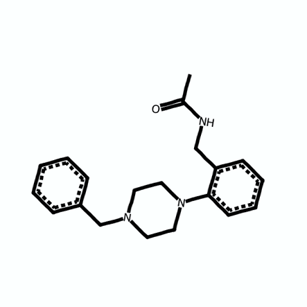 CC(=O)NCc1ccccc1N1CCN(Cc2ccccc2)CC1